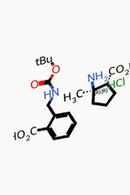 CC(C)(C)OC(=O)NCc1ccccc1C(=O)O.C[C@@]1(N)CCC[C@H]1C(=O)O.Cl